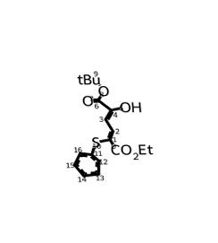 CCOC(=O)/C(=C/C=C(\O)C(=O)OC(C)(C)C)Sc1ccccc1